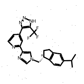 CC(C)c1ccc2c(c1)CC[C@H]2Cn1cnc(-c2cc(-c3nn[nH]c3C(F)(F)F)ccn2)c1